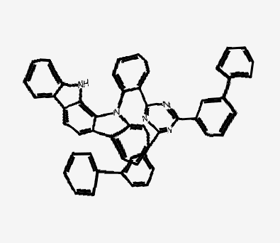 c1ccc(-c2cccc(-c3nc(-c4cccc(-c5ccccc5)c4)nc(-c4ccccc4-n4c5ccccc5c5ccc6c7ccccc7[nH]c6c54)n3)c2)cc1